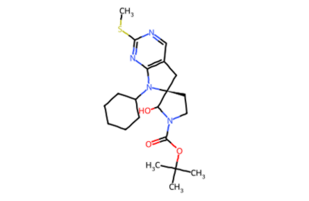 CSc1ncc2c(n1)N(C1CCCCC1)[C@]1(CCN(C(=O)OC(C)(C)C)C1O)C2